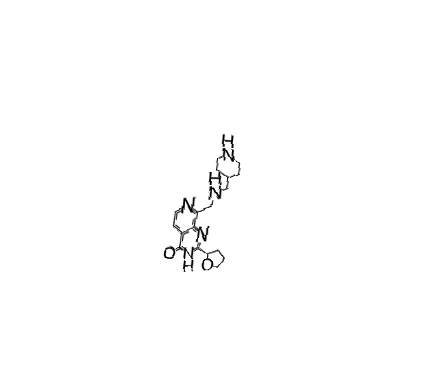 O=c1[nH]c(C2CCCO2)nc2c(CNCC3CCNCC3)nccc12